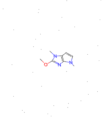 COc1nc2c(ccn2C)n1C